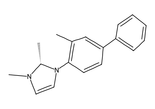 Cc1cc(-c2ccccc2)ccc1N1C=CN(C)[C@@H]1C